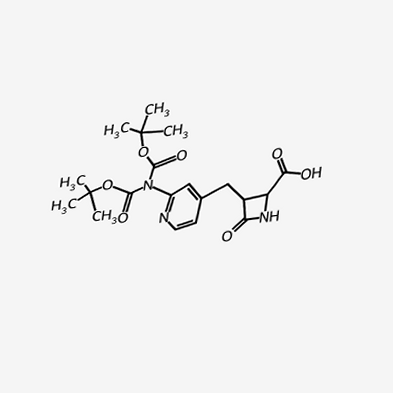 CC(C)(C)OC(=O)N(C(=O)OC(C)(C)C)c1cc(CC2C(=O)NC2C(=O)O)ccn1